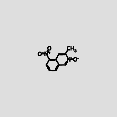 Cc1cc2c([N+](=O)[O-])cccc2c[n+]1[O-]